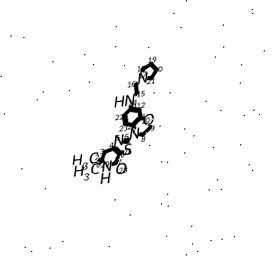 CC1(C)Cc2nc(N3CCOc4cc(NCCN5CCCC5)ccc43)sc2C(=O)N1